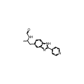 CC(Cc1ccc2[nH]c(-c3ccncc3)nc2c1)NC=O